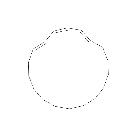 C1=C\C=C\CCCCCCCCCCCC/C=C/1